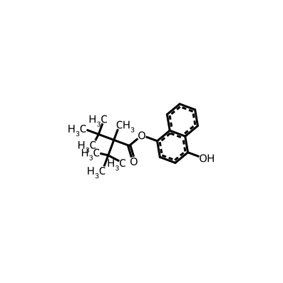 CC(C)(C)C(C)(C(=O)Oc1ccc(O)c2ccccc12)C(C)(C)C